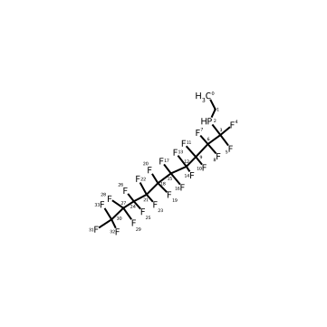 CCPC(F)(F)C(F)(F)C(F)(F)C(F)(F)C(F)(F)C(F)(F)C(F)(F)C(F)(F)C(F)(F)C(F)(F)F